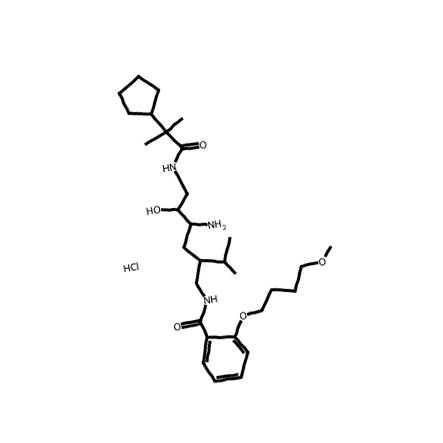 COCCCCOc1ccccc1C(=O)NCC(CC(N)C(O)CNC(=O)C(C)(C)C1CCCC1)C(C)C.Cl